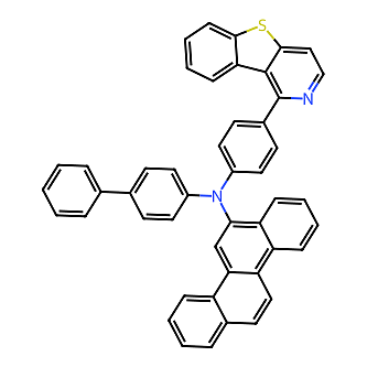 c1ccc(-c2ccc(N(c3ccc(-c4nccc5sc6ccccc6c45)cc3)c3cc4c5ccccc5ccc4c4ccccc34)cc2)cc1